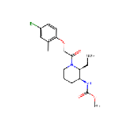 COC[C@H]1[C@@H](NC(=O)OC(C)(C)C)CCCN1C(=O)COc1ccc(Br)cc1C